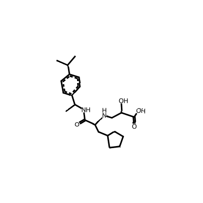 CC(C)c1ccc(C(C)NC(=O)C(CC2CCCC2)NCC(O)C(=O)O)cc1